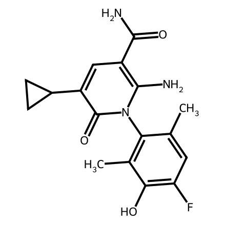 Cc1cc(F)c(O)c(C)c1-n1c(N)c(C(N)=O)cc(C2CC2)c1=O